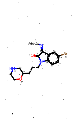 CO/N=C1\C(=O)N(CCCC2CNCCO2)c2ccc(Br)cc21